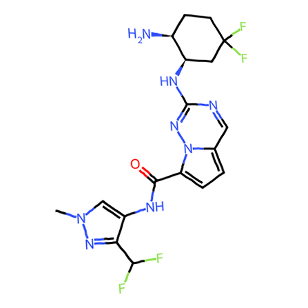 Cn1cc(NC(=O)c2ccc3cnc(N[C@@H]4CC(F)(F)CC[C@@H]4N)nn23)c(C(F)F)n1